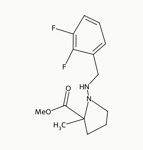 COC(=O)C1(C)CCCN1NCc1cccc(F)c1F